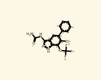 NC(=O)Nc1n[nH]c2c(OC(F)(F)F)c(Cl)c(-c3ccccc3)cc12